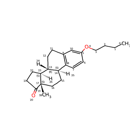 CCCCOc1ccc2c(c1)CC[C@@H]1[C@@H]2CC[C@]2(C)C(=O)CC[C@@H]12